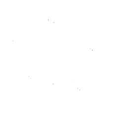 COCCCn1cc(CN(C(=O)[C@H]2CN(C(=O)OC(C)(C)C)CCO2)C2CCC2)c2ccccc21